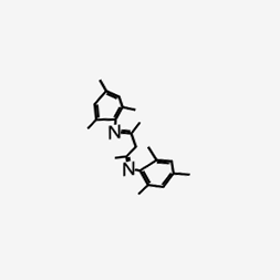 CC(CC(C)=Nc1c(C)cc(C)cc1C)=Nc1c(C)cc(C)cc1C